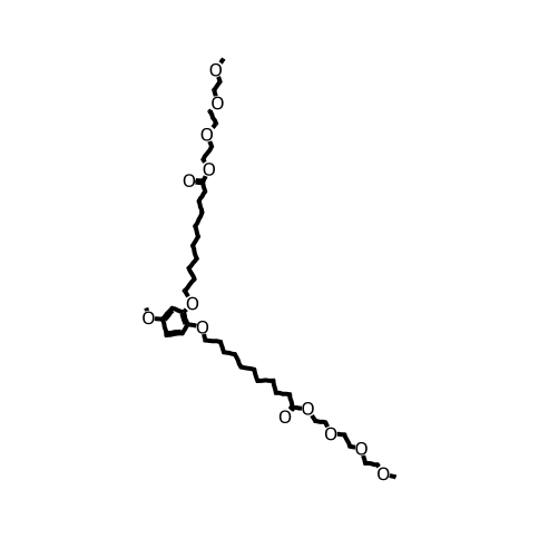 COCCOCCOCCOC(=O)CCCCCCCCCCOc1ccc(OC)cc1OCCCCCCCCCCC(=O)OCCOCCOCCOC